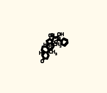 C[C@H]1C[C@H]2[C@@H]3CC[C@H]4CC(=O)CC[C@]4(C)C3=CC[C@]2(C)[C@]1(OC(=O)c1ccccc1)C(=O)CO